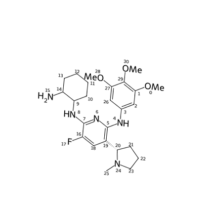 COc1cc(Nc2nc(NC3CCCCC3N)c(F)cc2[C@@H]2CCCN2C)cc(OC)c1OC